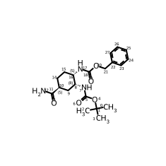 CC(C)(C)OC(=O)N[C@@H]1C[C@@H](C(N)=O)CC[C@@H]1NC(=O)OCc1ccccc1